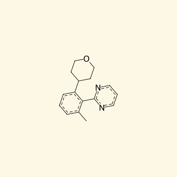 Cc1cccc(C2CCOCC2)c1-c1ncccn1